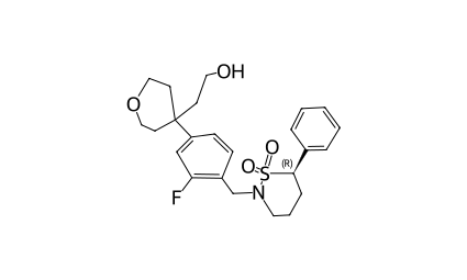 O=S1(=O)[C@@H](c2ccccc2)CCCN1Cc1ccc(C2(CCO)CCOCC2)cc1F